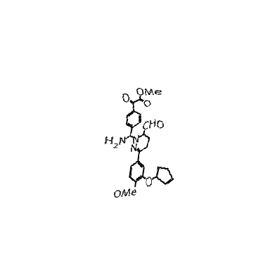 COC(=O)C(=O)c1ccc(C(N)N2N=C(c3ccc(OC)c(OC4CCCC4)c3)CCC2C=O)cc1